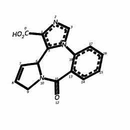 O=C(O)c1ncn2c1C1C=CCN1C(=O)c1ccccc1-2